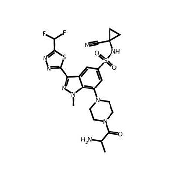 CC(N)C(=O)N1CCN(c2cc(S(=O)(=O)NC3(C#N)CC3)cc3c(-c4nnc(C(F)F)s4)nn(C)c23)CC1